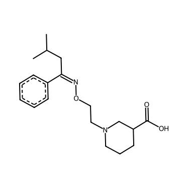 CC(C)CC(=NOCCN1CCCC(C(=O)O)C1)c1ccccc1